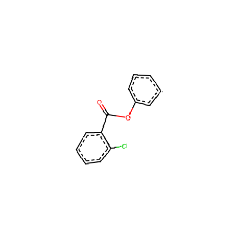 O=C(Oc1c[c]ccc1)c1ccccc1Cl